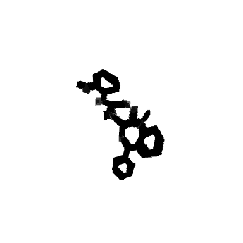 COc1ccccc1NC(=S)NC1N=C(c2ccccc2)c2ccccc2N(C)C1=O